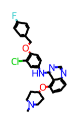 CN1CCC(Oc2cccc3ncnc(Nc4ccc(OCc5ccc(F)cc5)c(Cl)c4)c23)CC1